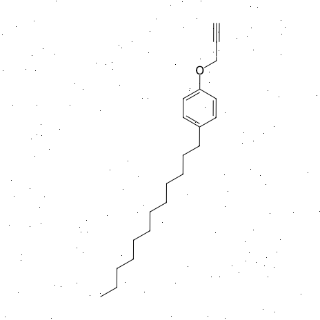 C#CCOc1ccc(CCCCCCCCCCCC)cc1